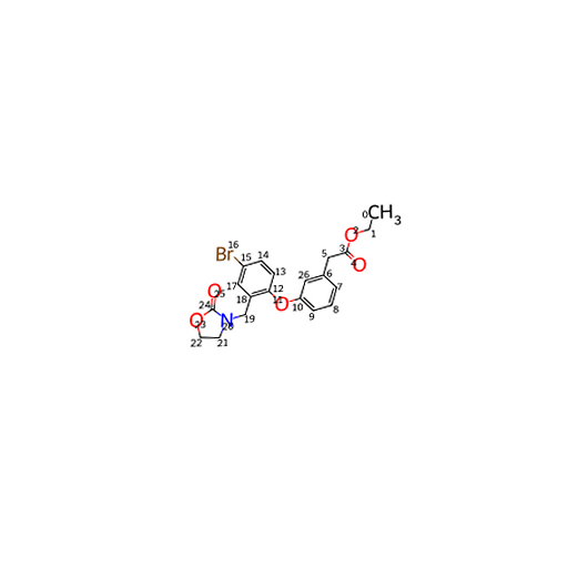 CCOC(=O)Cc1cccc(Oc2ccc(Br)cc2CN2CCOC2=O)c1